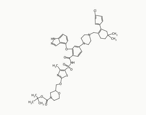 Cc1nc(OCC2CN(C(=O)OC(C)(C)C)CCO2)sc1S(=O)(=O)NC(=O)c1ccc(N2CCN(CC3=C(c4ccc(Cl)cc4)CC(C)(C)CC3)CC2)cc1Oc1cccc2[nH]ncc12